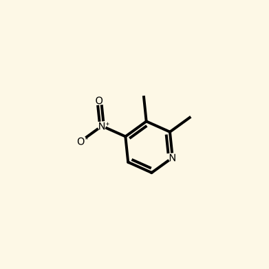 Cc1nccc([N+](=O)[O-])c1C